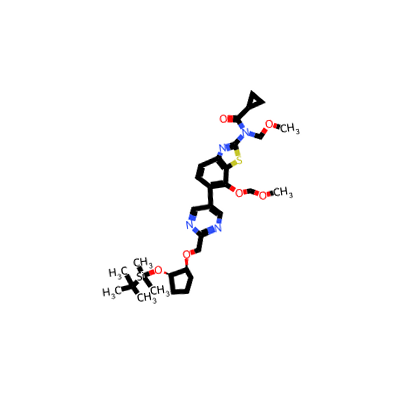 COCOc1c(-c2cnc(CO[C@H]3CCC[C@@H]3O[Si](C)(C)C(C)(C)C)nc2)ccc2nc(N(COC)C(=O)C3CC3)sc12